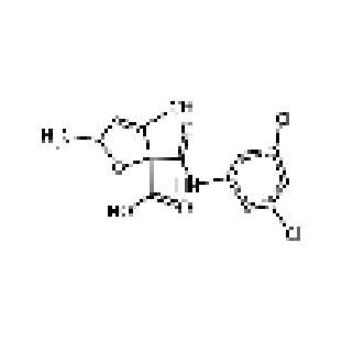 CC1=CC(C)OC1(C(=O)O)C(=O)Nc1cc(Cl)cc(Cl)c1